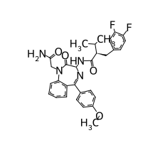 COc1ccc(C2=NC(NC(=O)[C@H](Cc3ccc(F)c(F)c3)C(C)C)C(=O)N(CC(N)=O)c3ccccc32)cc1